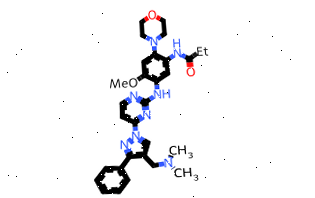 CCC(=O)Nc1cc(Nc2nccc(-n3cc(CN(C)C)c(-c4ccccc4)n3)n2)c(OC)cc1N1CCOCC1